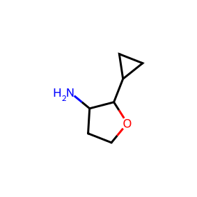 NC1CCOC1C1CC1